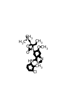 CCC1[C@H](CN(C)C)OC(=O)N1c1cc2c(Nc3cccc(Cl)c3C)ncnc2cc1OC